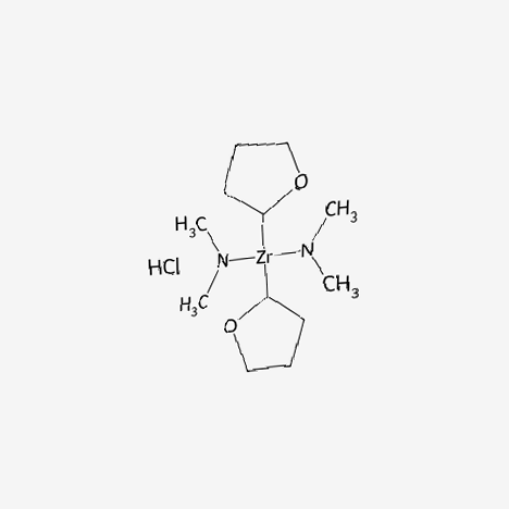 C[N](C)[Zr]([CH]1CCCO1)([CH]1CCCO1)[N](C)C.Cl